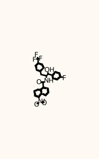 O=C(NC(Cc1ccc(C(F)(F)F)cc1)C(O)c1ccc(F)cc1)c1cccc2c([N+](=O)[O-])cccc12